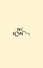 CCCCC1C(C)N(C)c2cnccc2N1C